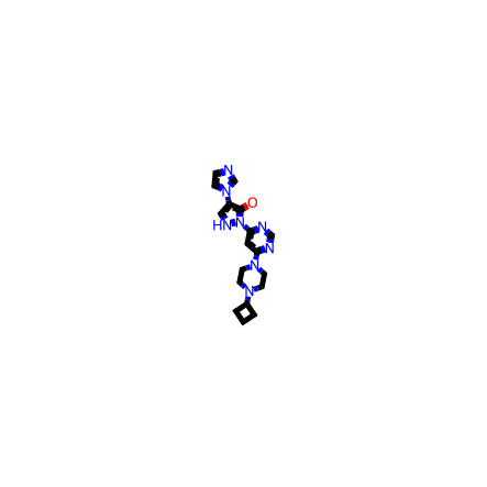 O=c1c(-n2ccnc2)c[nH]n1-c1cc(N2CCN(C3CCC3)CC2)ncn1